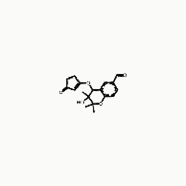 CC1(C)Oc2ccc(C=O)cc2C(OC2=CC(=O)CC2)C1(C)O